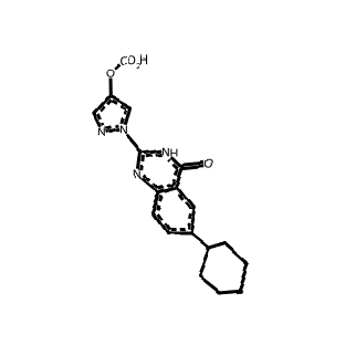 O=C(O)Oc1cnn(-c2nc3ccc(C4CCCCC4)cc3c(=O)[nH]2)c1